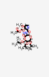 COc1ccnc(C(=O)N[C@H]2COC[C@H](OCC(C)C)[C@@H](OCC(C)C)[C@@H](COCC(C)C)OC2=O)c1OCOC(C)=O